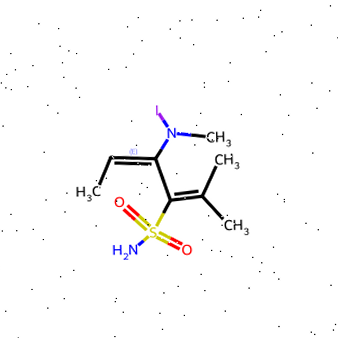 C/C=C(\C(=C(C)C)S(N)(=O)=O)N(C)I